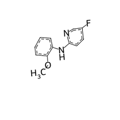 COc1ccccc1Nc1ccc(F)cn1